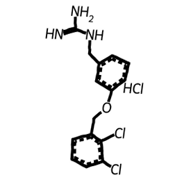 Cl.N=C(N)NCc1cccc(OCc2cccc(Cl)c2Cl)c1